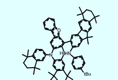 CC(C)(C)c1ccc(Nc2cc3c(cc2-c2c4c(cc5c2oc2ccccc25)N(c2ccc5c(c2)C(C)(C)CCC5(C)C)c2cc5c(cc2B4)C(C)(C)CCC5(C)C)-c2cc4c(cc2C3(C)C)C(C)(C)CCC4(C)C)cc1